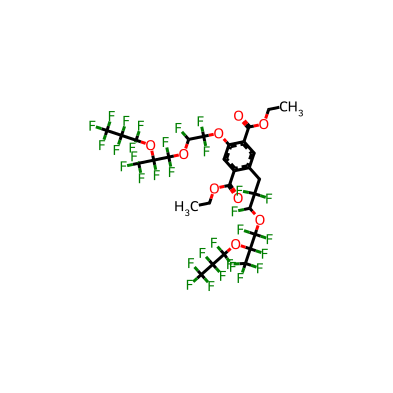 CCOC(=O)c1cc(OC(F)(F)C(F)OC(F)(F)C(F)(OC(F)(F)C(F)(F)C(F)(F)F)C(F)(F)F)c(C(=O)OCC)cc1CC(F)(F)C(F)OC(F)(F)C(F)(OC(F)(F)C(F)(F)C(F)(F)F)C(F)(F)F